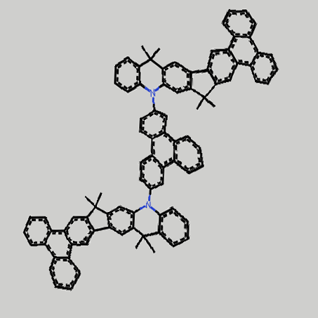 CC1(C)c2cc3c(cc2-c2cc4c5ccccc5c5ccccc5c4cc21)C(C)(C)c1ccccc1N3c1ccc2c3ccc(N4c5ccccc5C(C)(C)c5cc6c(cc54)C(C)(C)c4cc5c7ccccc7c7ccccc7c5cc4-6)cc3c3ccccc3c2c1